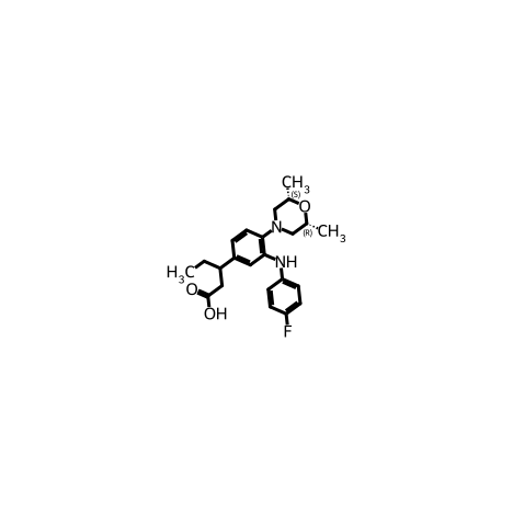 CCC(CC(=O)O)c1ccc(N2C[C@@H](C)O[C@@H](C)C2)c(Nc2ccc(F)cc2)c1